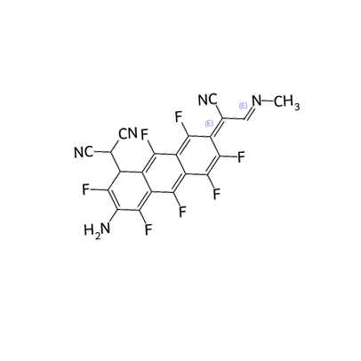 C/N=C/C(C#N)=c1\c(F)c(F)c2c(F)c3c(c(F)c2c1F)C(C(C#N)C#N)C(F)=C(N)C=3F